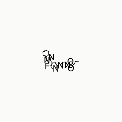 CCCS(=O)(=O)N1CCN(c2cc(-c3nc4ccccc4n3C)c(F)cn2)CC1